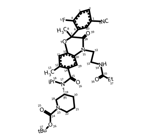 [C-]#[N+]c1ccc(F)c(C2(C)Oc3cc(C)c(C(=O)N(C(C)C)[C@@H]4CCCN(C(=O)OC(C)(C)C)C4)cc3N(CCNC(=O)CC)C2=O)c1